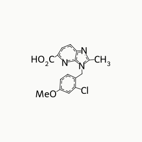 COc1ccc(Cn2c(C)nc3ccc(C(=O)O)nc32)c(Cl)c1